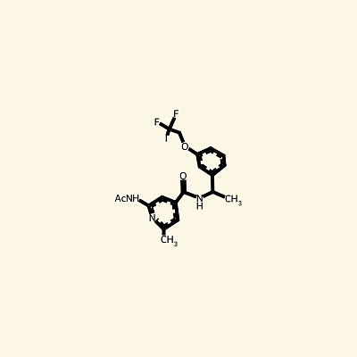 CC(=O)Nc1cc(C(=O)NC(C)c2cccc(OCC(F)(F)I)c2)cc(C)n1